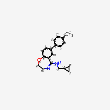 FC(F)(F)c1ccc(-c2ccc3c(c2)C(NCC2CC2)=NCCO3)cc1